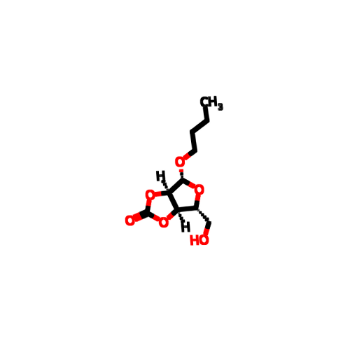 CCCCO[C@@H]1O[C@H](CO)[C@H]2OC(=O)O[C@@H]12